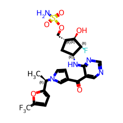 C[C@H](c1ccc(C(F)(F)F)o1)n1ccc(C(=O)c2cncnc2N[C@@H]2C[C@H](COS(N)(=O)=O)[C@@H](O)[C@@H]2F)c1